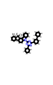 CC1(C)c2ccccc2-c2ccc3c(c21)c1ccccc1n3-c1nc(-c2ccccc2)nc(-c2cccc(-c3ccccc3)c2)n1